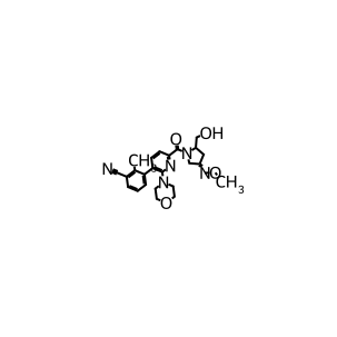 CO/N=C1\CC(CO)N(C(=O)c2ccc(-c3cccc(C#N)c3C)c(N3CCOCC3)n2)C1